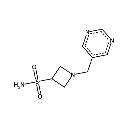 NS(=O)(=O)C1CN(Cc2cncnc2)C1